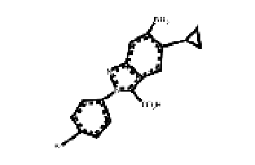 O=C(O)c1c2cc(C3CC3)c([N+](=O)[O-])cc2nn1-c1ccc(Br)cc1